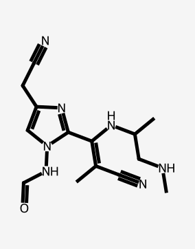 CNCC(C)N/C(=C(/C)C#N)c1nc(CC#N)cn1NC=O